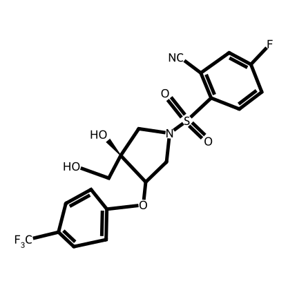 N#Cc1cc(F)ccc1S(=O)(=O)N1CC(Oc2ccc(C(F)(F)F)cc2)[C@](O)(CO)C1